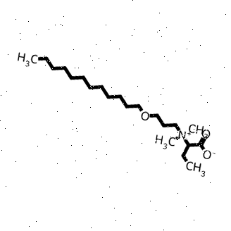 CCCCCCCCCCCCOCCC[N+](C)(C)C(CC)C(=O)[O-]